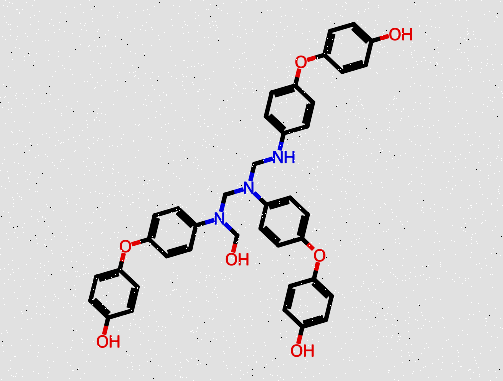 OCN(CN(CNc1ccc(Oc2ccc(O)cc2)cc1)c1ccc(Oc2ccc(O)cc2)cc1)c1ccc(Oc2ccc(O)cc2)cc1